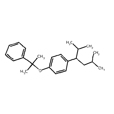 CC(C)CC(c1ccc(OC(C)(C)c2ccccc2)cc1)C(C)C